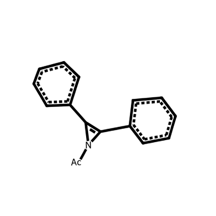 CC(=O)N1C(c2ccccc2)=C1c1ccccc1